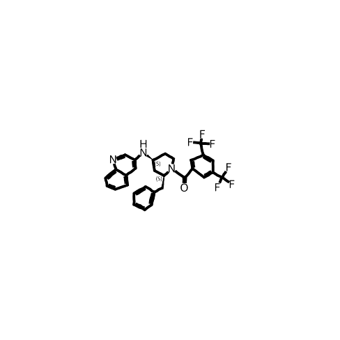 O=C(c1cc(C(F)(F)F)cc(C(F)(F)F)c1)N1CC[C@H](Nc2cnc3ccccc3c2)C[C@@H]1Cc1ccccc1